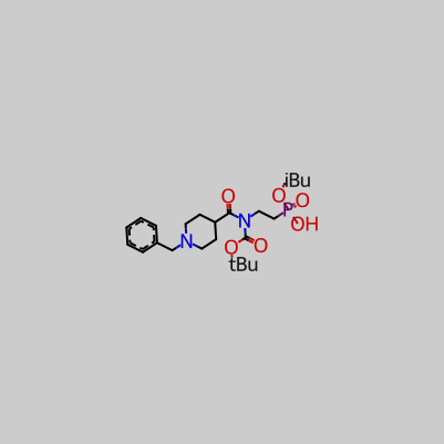 CCC(C)OP(=O)(O)CCN(C(=O)OC(C)(C)C)C(=O)C1CCN(Cc2ccccc2)CC1